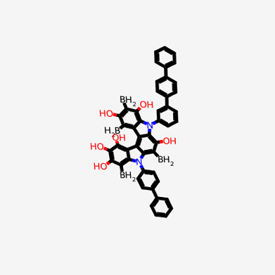 Bc1c(O)c(B)c2c3c4c5c(O)c(O)c(O)c(B)c5n(-c5ccc(-c6ccccc6)cc5)c4c(B)c(O)c3n(-c3cccc(-c4ccc(-c5ccccc5)cc4)c3)c2c1O